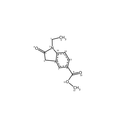 CCN1C(=O)Cc2cc(C(=O)OC)ccc21